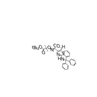 CC(C)(C)OC(=O)C(C)(C)ON=C(C(=O)O)c1csc(NC(c2ccccc2)(c2ccccc2)c2ccccc2)n1